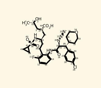 C[C@H](O)CN(C[C@@H](CCc1c(F)cccc1NC(=O)[C@@H](N=[N+]=[N-])[C@@H](c1ccc(Cl)cc1)C1CCOCC1)NS(=O)(=O)C1CC1)C(=O)O